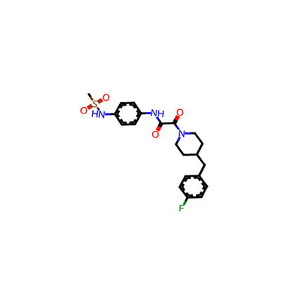 CS(=O)(=O)Nc1ccc(NC(=O)C(=O)N2CCC(Cc3ccc(F)cc3)CC2)cc1